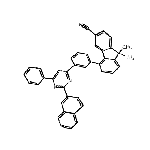 CC1(C)c2ccc(C#N)cc2-c2c(-c3cccc(-c4cc(-c5ccccc5)nc(-c5ccc6ccccc6c5)n4)c3)cccc21